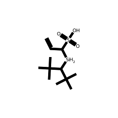 C=C[C]([SiH2]C(C(C)(C)C)C(C)(C)C)S(=O)(=O)O